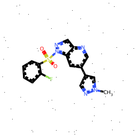 Cn1cc(-c2cnc3cnn(S(=O)(=O)c4ccccc4F)c3c2)cn1